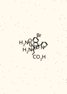 NC(=O)CN(C(=O)[C@@H](N)CCC(=O)O)c1ccc(Br)cc1C(=O)c1ccccn1